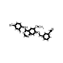 COc1cc2c(Nc3ccc(Br)cc3F)ncnc2cc1OCc1cccc(C#N)c1